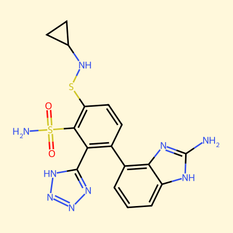 Nc1nc2c(-c3ccc(SNC4CC4)c(S(N)(=O)=O)c3-c3nnn[nH]3)cccc2[nH]1